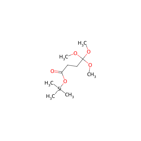 COC(CCC(=O)O[Si](C)(C)C)(OC)OC